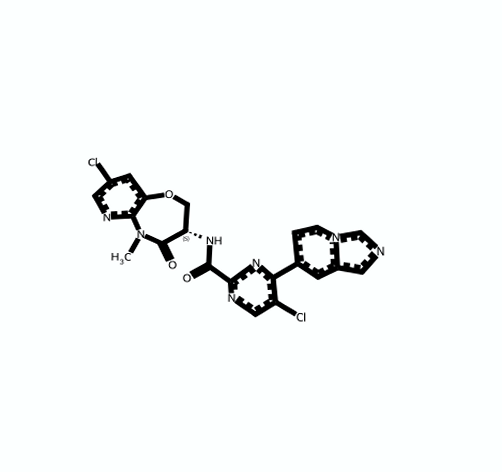 CN1C(=O)[C@@H](NC(=O)c2ncc(Cl)c(-c3ccn4cncc4c3)n2)COc2cc(Cl)cnc21